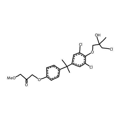 COCC(=O)COc1ccc(C(C)(C)c2cc(Cl)c(OCC(C)(O)CCl)c(Cl)c2)cc1